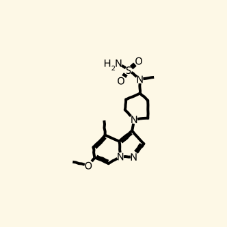 COc1cc(C)c2c(N3CCC(N(C)S(N)(=O)=O)CC3)cnn2c1